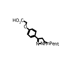 CCCCCC1CC(c2ccc(OCC(=O)O)cc2)=NN1